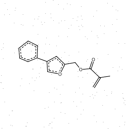 C=C(C)C(=O)OCc1cc(-c2ccccc2)co1